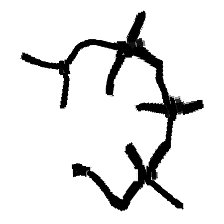 CN(C)C[N+](C)(C)C[N+](C)(C)C[N+](C)(C)CBr